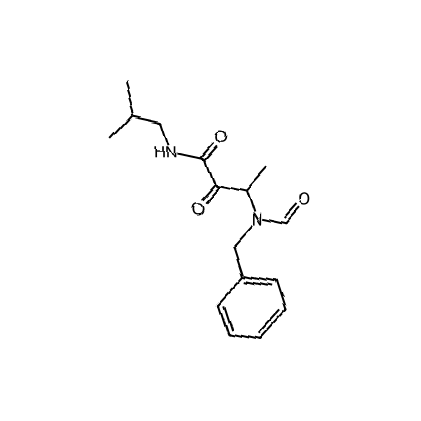 CC(C)CNC(=O)C(=O)C(C)N(C=O)Cc1ccccc1